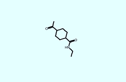 CCNC(=O)C1CCC(C(C)=O)CC1